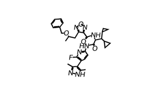 Cc1n[nH]c(C)c1-c1ccc(NC(=O)[C@@H](NC(=O)c2nonc2CC(C)OCc2ccccc2)C(C2CC2)C2CC2)nc1F